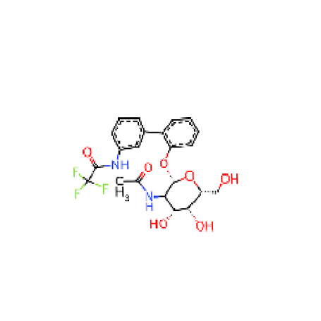 CC(=O)N[C@H]1[C@H](Oc2ccccc2-c2cccc(NC(=O)C(F)(F)F)c2)O[C@H](CO)[C@H](O)[C@@H]1O